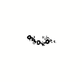 COc1ccc(-c2nsc(C3CCN(C(=O)CNC(=O)c4ccccc4)CC3)n2)cc1OC